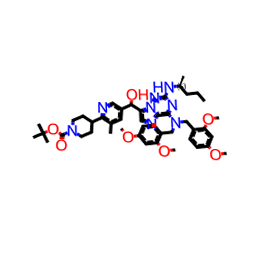 CCC[C@H](C)Nc1nc(N(Cc2ccc(OC)cc2OC)Cc2ccc(OC)cc2OC)c2ncc(C(O)c3cnc(C4CCN(C(=O)OC(C)(C)C)CC4)c(C)c3)n2n1